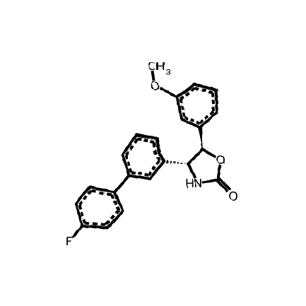 COc1cccc([C@H]2OC(=O)N[C@@H]2c2cccc(-c3ccc(F)cc3)c2)c1